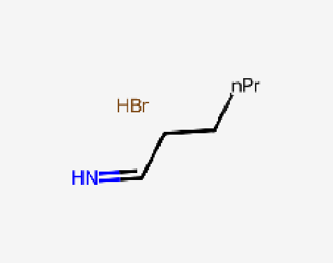 Br.CCCCCC=N